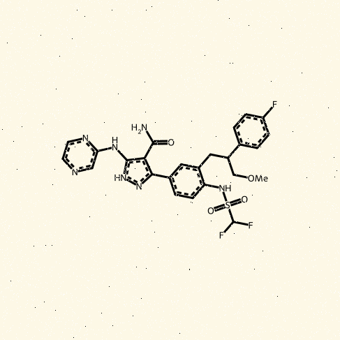 COCC(Cc1cc(-c2n[nH]c(Nc3cnccn3)c2C(N)=O)ccc1NS(=O)(=O)C(F)F)c1ccc(F)cc1